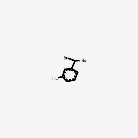 CCCCC(Br)c1cccc(C(F)(F)F)c1